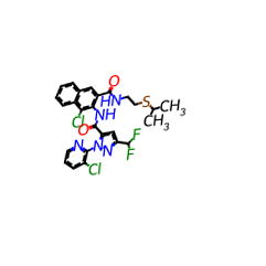 CC(C)SCCNC(=O)c1cc2ccccc2c(Cl)c1NC(=O)c1cc(C(F)F)nn1-c1ncccc1Cl